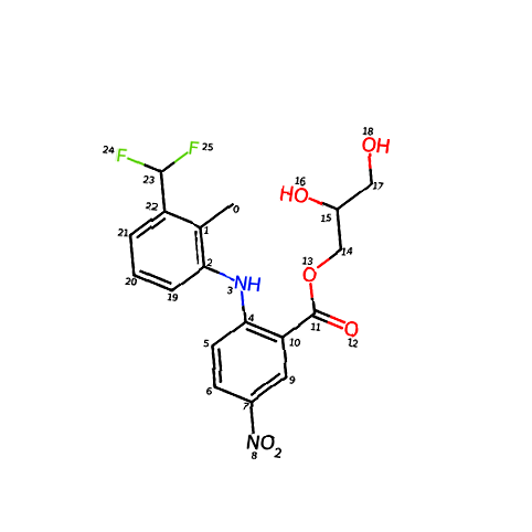 Cc1c(Nc2ccc([N+](=O)[O-])cc2C(=O)OCC(O)CO)cccc1C(F)F